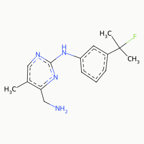 Cc1cnc(Nc2cccc(C(C)(C)F)c2)nc1CN